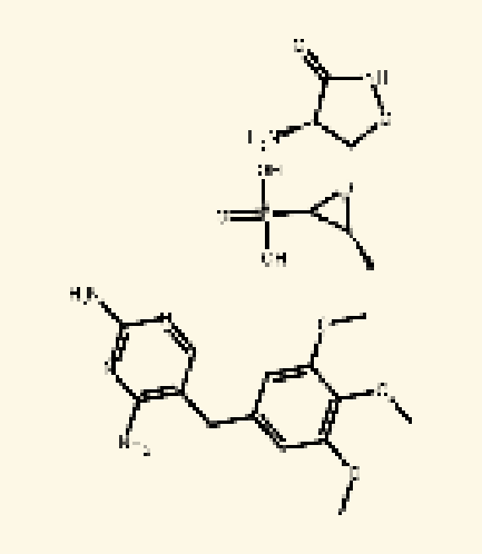 COc1cc(Cc2cnc(N)nc2N)cc(OC)c1OC.C[C@@H]1O[C@@H]1P(=O)(O)O.N[C@@H]1CONC1=O